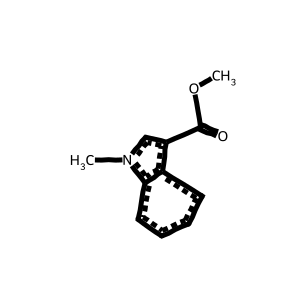 COC(=O)c1cn(C)c2ccccc12